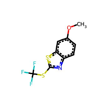 COc1ccc2nc(SC(F)(F)F)sc2c1